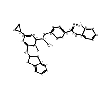 CN1C(NC2Cc3ccccc3C2)=NC(C2CC2)=NC1N(N)Cc1ccc(C(=O)Nc2ccccc2N)cc1